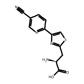 N#Cc1ccc(-c2csc(C[C@H](N)C(=O)O)n2)nc1